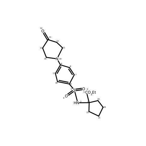 CCOC(=O)C1(NS(=O)(=O)c2ccc(N3CCC(=O)CC3)cc2)CCCC1